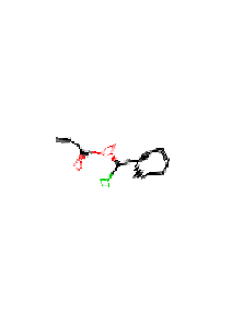 C=CC(=O)OC(Cl)c1ccccc1